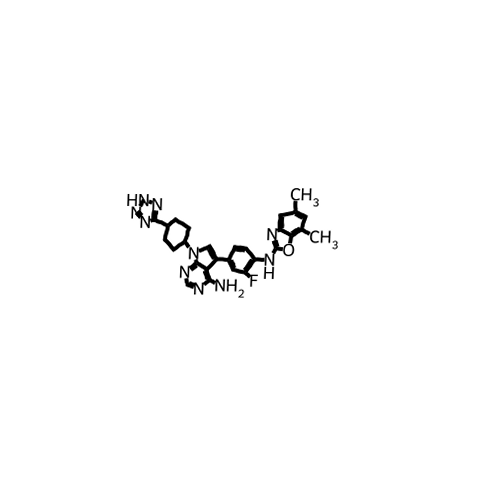 Cc1cc(C)c2oc(Nc3ccc(-c4cn(C5CCC(c6nn[nH]n6)CC5)c5ncnc(N)c45)cc3F)nc2c1